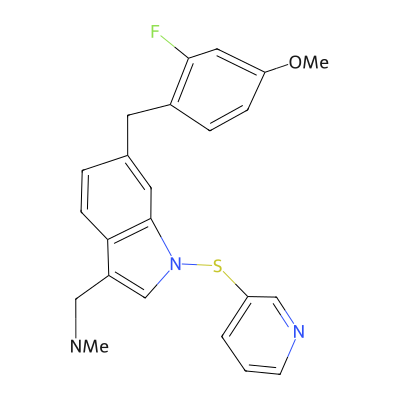 CNCc1cn(Sc2cccnc2)c2cc(Cc3ccc(OC)cc3F)ccc12